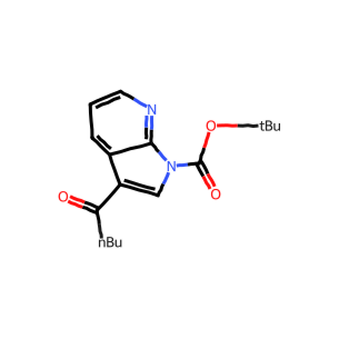 CCCCC(=O)c1cn(C(=O)OC(C)(C)C)c2ncccc12